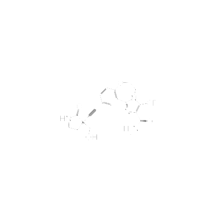 NC(=O)c1nc2n(c1C(F)(F)F)CCOc1ccc(C#C[C@@]3(CO)CCNC3=O)cc1-2